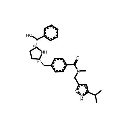 CC(C)c1cc(CN(C)C(=O)c2ccc(C[C@@H]3CC[C@H](C(O)c4ccccc4)N3)cc2)n[nH]1